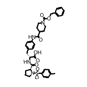 Cc1ccc(S(=O)(=O)N2CCC[C@H]2C(=O)N[C@H](Cc2ccc(NC(=O)C3CCN(C(=O)OCc4ccccc4)CC3)cc2)C(=O)O)cc1